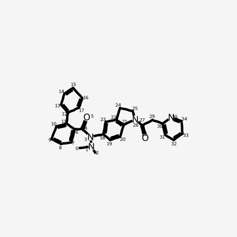 CN(C)N(C(=O)c1ccccc1-c1ccccc1)c1ccc2c(c1)CCN2C(=O)Cc1ccccn1